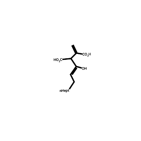 C=C(C(=O)O)C(C(=O)O)C(O)=CCCCCCCCC